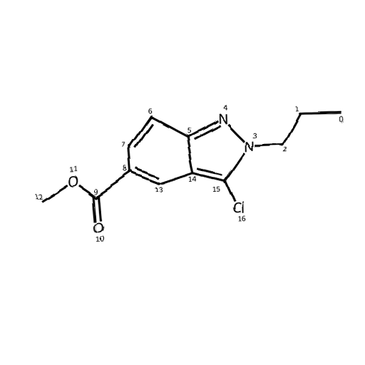 CCCn1nc2ccc(C(=O)OC)cc2c1Cl